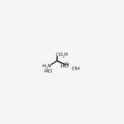 CC(C)C(N)C(=O)O.Cl.Cl.Cl